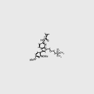 CNc1ccc(-c2cn(COCC[Si](C)(C)C)c3nc(NC(=O)C4CC4)ccc23)c(OC)n1